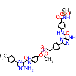 CCOP(=O)(CCc1ccc(-c2cnc(N)c(C(=O)Nc3ccc(C(=O)NS(C)(=O)=O)cc3)n2)cc1)COc1ccc(NC(=O)c2nc(-c3ccc(C)cc3)cnc2N)cc1